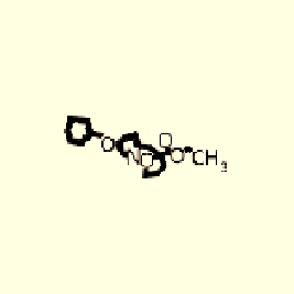 CCOC(=O)C1(Cc2ccc(OCc3ccccc3)cn2)CCCO1